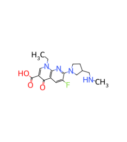 CCn1cc(C(=O)O)c(=O)c2cc(F)c(N3CCC(CNC)C3)nc21